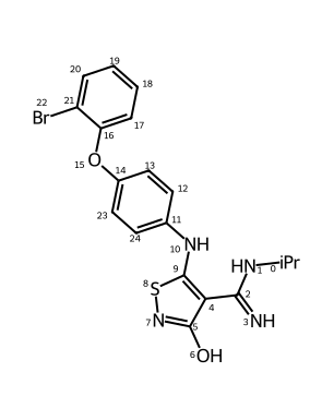 CC(C)NC(=N)c1c(O)nsc1Nc1ccc(Oc2ccccc2Br)cc1